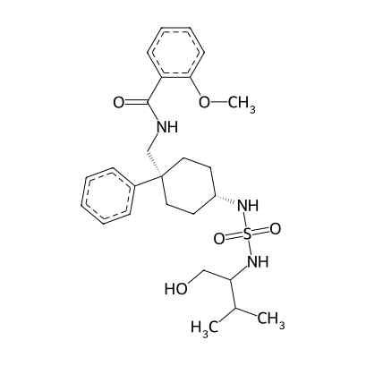 COc1ccccc1C(=O)NC[C@]1(c2ccccc2)CC[C@H](NS(=O)(=O)NC(CO)C(C)C)CC1